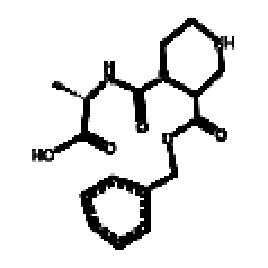 C[C@H](NC(=O)N1CCNCC1C(=O)OCc1ccccc1)C(=O)O